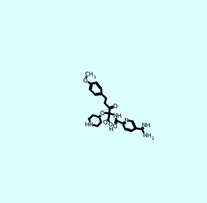 COc1ccc(CCC(=O)C(NC(=O)c2ccc(C(=N)N)cn2)(OC2CCNCC2)C(=O)O)cc1